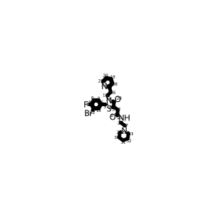 O=C(CC1SC(c2ccc(F)c(Br)c2)N(CCc2ccccn2)C1=O)NCCN1CCCCC1